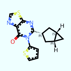 O=c1c2ncsc2nc([C@@H]2C[C@@H]3C[C@@H]3C2)n1-c1cccs1